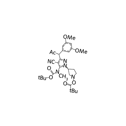 COc1cc(OC)cc(C(C(C)=O)c2nn([C@H]3CCN(OC(=O)C(C)(C)C)C3)c(N(C)C(=O)OC(C)(C)C)c2C#N)c1